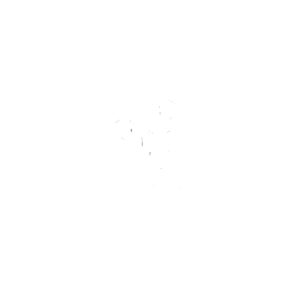 COB(C)[C@H](CC(C)C)NC(=O)[C@H](Cc1ccccc1)NC(=O)c1ncccn1